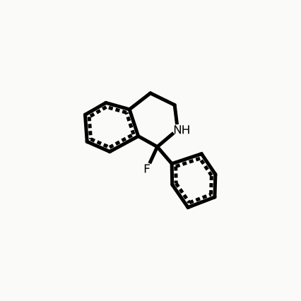 FC1(c2ccccc2)NCCc2ccccc21